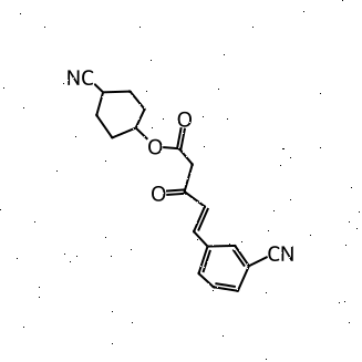 N#Cc1cccc(C=CC(=O)CC(=O)OC2CCC(C#N)CC2)c1